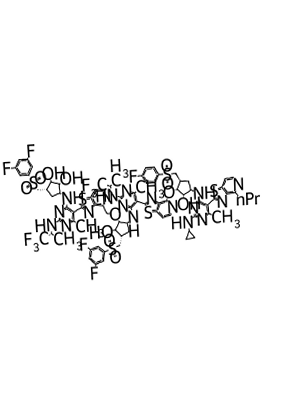 CCCc1nccc2sc(-c3c(C)nc(NC4CC4)nc3N[C@@H]3C[C@H](CS(=O)(=O)c4ccc(F)cc4)[C@@H](Oc4nccc5sc(-c6c(C)nc(N[C@H](C)C(F)(F)F)nc6NC6C[C@H](CS(=O)(=O)c7cc(F)cc(F)c7)[C@@H](O)[C@H]6OCc6nccc7sc(-c8c(C)nc(N[C@H](C)C(F)(F)F)nc8N[C@@H]8C[C@H](CS(=O)(=O)c9cc(F)cc(F)c9)[C@@H](O)[C@H]8O)nc67)nc45)[C@H]3O)nc12